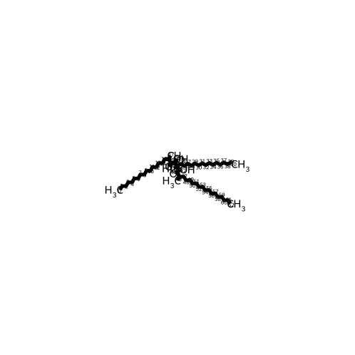 CCCCCCCCCCCCCCCCC(C)C(=O)C(O)C(O)(C(=O)CCCCCCCCCCCCCCC)C(O)C(=O)C(C)CCCCCCCCCCCCCCCC